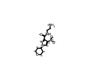 NCCNC(=O)c1nn(C2CCOCC2)cc1[N+](=O)[O-]